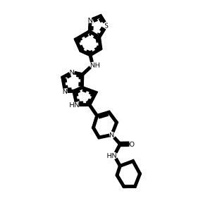 O=C(NC1CCCCC1)N1CC=C(c2cc3c(Nc4ccc5ncsc5c4)ncnc3[nH]2)CC1